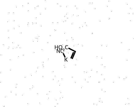 C=CC(=O)O.N#[C][K]